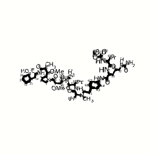 CC[C@H](C)[C@@H]([C@@H](CC(=O)N1CCCC1[C@H](OC)[C@@H](C)C(=O)N[C@@H](Cc1ccccc1)C(=O)O)OC)N(C)C(=O)C(NC(=O)C(C(C)C)N(C)CCc1ccc(NC(=O)C(CCCNC(N)=O)NC(=O)C(NC(=O)OC(C)(C)C)C(C)C)cc1)C(C)C